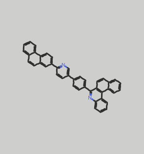 c1ccc2c(c1)ccc1cc(-c3ccc(-c4ccc(-c5nc6ccccc6c6c5ccc5ccccc56)cc4)cn3)ccc12